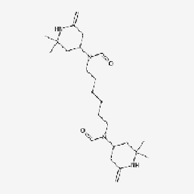 C=C1CC(N(C=O)CCCCCCN(C=O)C2CC(=C)NC(C)(C)C2)CC(C)(C)N1